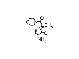 C[C@H](C(=O)N1CCOCC1)N1C=C[C@H](N)C1=O